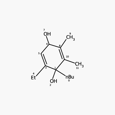 CCCCC1(O)C(CC)=CC(O)C(C)=C1C